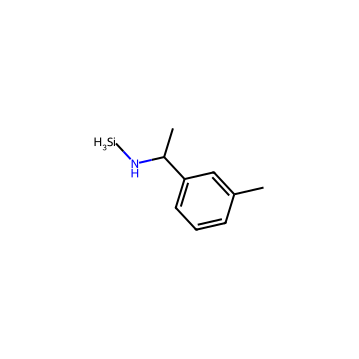 Cc1cccc(C(C)N[SiH3])c1